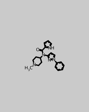 CN1CCC(N(C(=O)c2ccc[nH]2)c2ccn(-c3ccccc3)n2)CC1